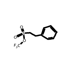 O=S(=O)(CCc1ccccc1)OC(F)(F)F